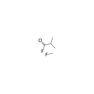 CC(C)C(=O)F.CF